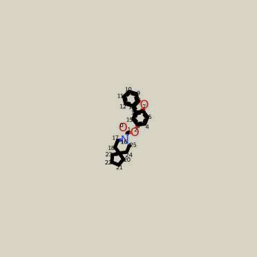 O=C(Oc1ccc2oc3ccccc3c2c1)N1CCC2(CCCC2)CC1